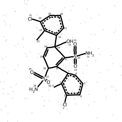 Cc1c(Cl)cccc1C1=C(S(N)(=O)=O)C(O)(c2cccc(Cl)c2C)C=CC1S(N)(=O)=O